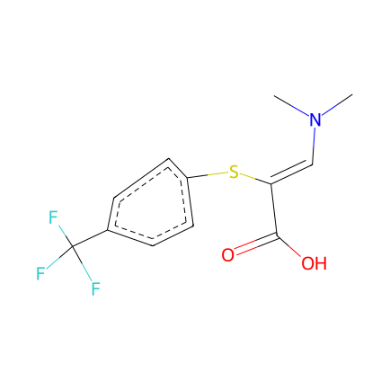 CN(C)/C=C(\Sc1ccc(C(F)(F)F)cc1)C(=O)O